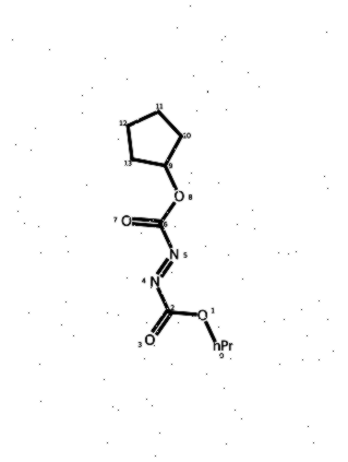 CCCOC(=O)N=NC(=O)OC1CCCC1